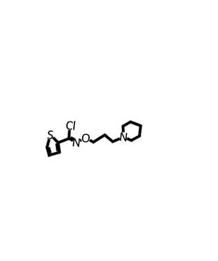 ClC(=NOCCCN1CCCCC1)c1cccs1